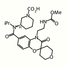 COC(=O)NCCN1C(=O)C2(CCOCC2)Oc2ccc(C(=O)N(C(C)C)[C@@H]3CCCN(C(=O)O)C3)cc21